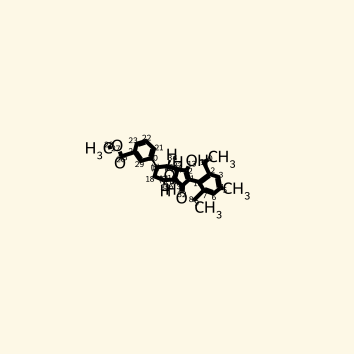 CCc1cc(C)cc(CC)c1C1=C(O)[C@@H]2[C@@H]3O[C@@H](C[C@H]3c3cccc(C(=O)OC)c3)[C@@H]2C1=O